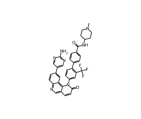 CN1CCC(NC(=O)c2ccc(-c3ccc(-n4c(=O)ccc5cnc6ccc(-c7cnc(N)nc7)cc6c54)cc3C(F)(F)F)cc2)CC1